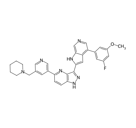 COc1cc(F)cc(-c2cncc3[nH]c(-c4n[nH]c5ccc(-c6cncc(CN7CCCCC7)c6)nc45)cc23)c1